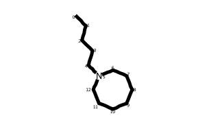 CCCCCN1CCCCCCC1